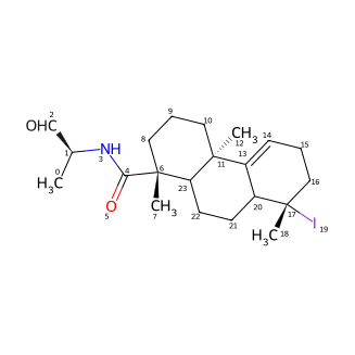 C[C@@H](C=O)NC(=O)[C@]1(C)CCC[C@@]2(C)C3=CCC[C@](C)(I)C3CCC12